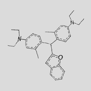 CCN(CC)c1ccc(C(c2cc3ccccc3o2)c2ccc(N(CC)CC)cc2C)c(C)c1